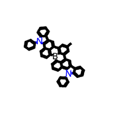 Cc1cc2c3c(c1)-c1cc4c5ccccc5n(-c5ccccc5)c4c4cccc(c14)B3c1cccc3c1c-2cc1c2ccccc2n(-c2ccccc2)c31